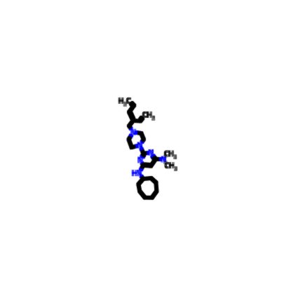 C=C/C=C(\C=C)CN1CCN(c2nc(NC3CCCCCCC3)cc(N(C)C)n2)CC1